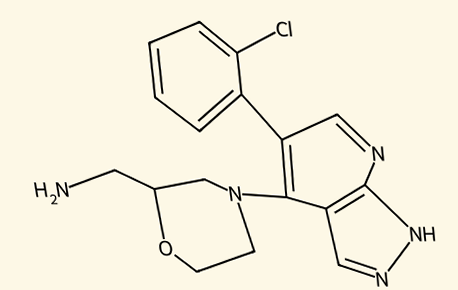 NCC1CN(c2c(-c3ccccc3Cl)cnc3[nH]ncc23)CCO1